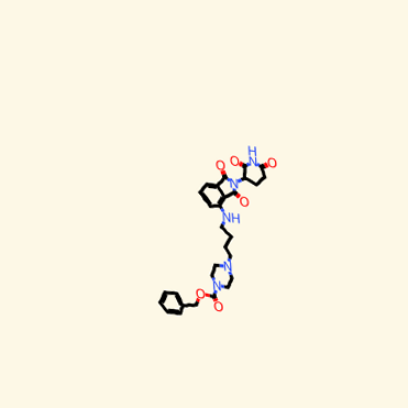 O=C1CCC(N2C(=O)c3cccc(NCCCCN4CCN(C(=O)OCc5ccccc5)CC4)c3C2=O)C(=O)N1